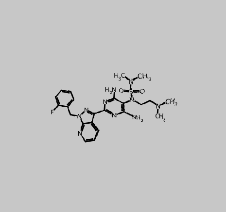 CN(C)CCN(c1c(N)nc(-c2nn(Cc3ccccc3F)c3ncccc23)nc1N)S(=O)(=O)N(C)C